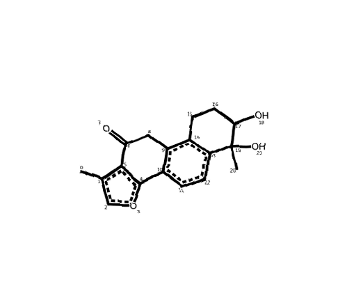 Cc1coc2c1C(=O)Cc1c-2ccc2c1CCC(O)C2(C)O